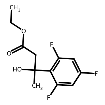 CCOC(=O)CC(C)(O)c1c(F)cc(F)cc1F